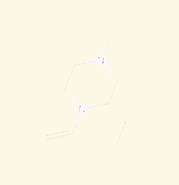 C=CN1CCN(C)C/C1=C/C